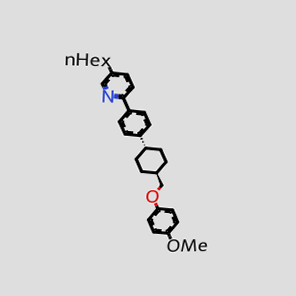 CCCCCCc1ccc(-c2ccc([C@H]3CC[C@H](COc4ccc(OC)cc4)CC3)cc2)nc1